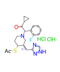 CC(=O)SC1CCN(C(C(=O)C2CC2)c2ccccc2F)C/C1=C\c1nc[nH]n1.Cl.Cl